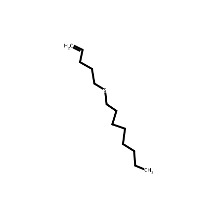 C=CCCCSCCCCCCCC